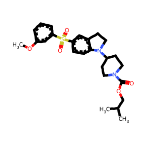 COc1cccc(S(=O)(=O)c2ccc3c(c2)CCN3C2CCN(C(=O)OCC(C)C)CC2)c1